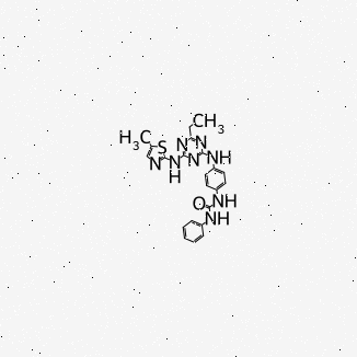 CCc1nc(Nc2ccc(NC(=O)Nc3ccccc3)cc2)nc(Nc2ncc(C)s2)n1